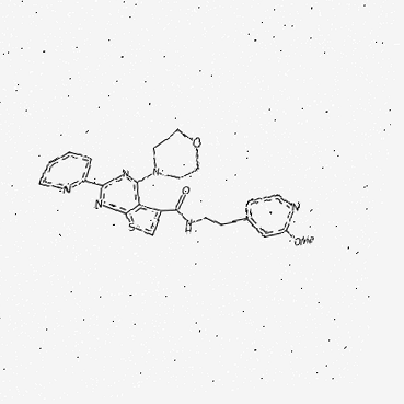 COc1cc(CCNC(=O)c2csc3nc(-c4ccccn4)nc(N4CCOCC4)c23)ccn1